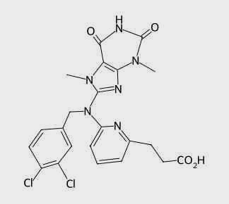 Cn1c(N(Cc2ccc(Cl)c(Cl)c2)c2cccc(CCC(=O)O)n2)nc2c1c(=O)[nH]c(=O)n2C